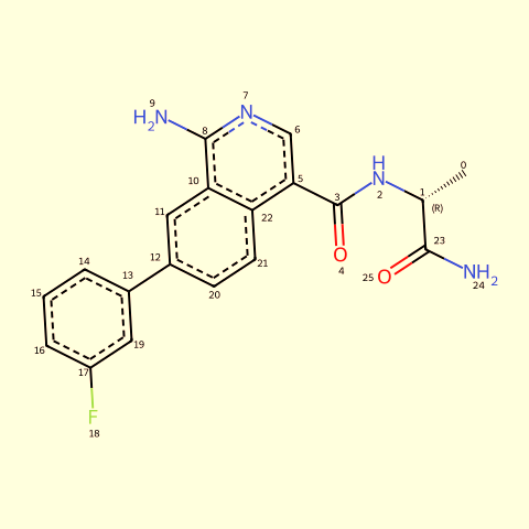 C[C@@H](NC(=O)c1cnc(N)c2cc(-c3cccc(F)c3)ccc12)C(N)=O